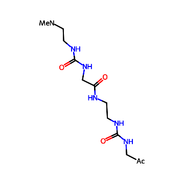 CNCCNC(=O)NCC(=O)NCCNC(=O)NCC(C)=O